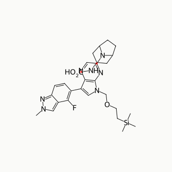 Cn1cc2c(F)c(-c3cn(COCC[Si](C)(C)C)c4nc(N5C6CCC5CC(NC(=O)O)C6)cnc34)ccc2n1